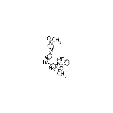 CC(=O)c1nnc(Nc2ccc(N3CCN(C(C)=O)CC3)cn2)cc1NCc1ccccc1F